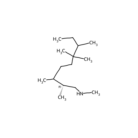 CCC(C)C(C)(C)CCC(C)[C@@H](C)CNC